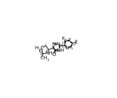 CCC(NC(C)=O)c1nnc(-c2ncc(F)cc2F)[nH]c1=O